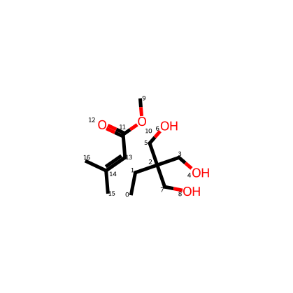 CCC(CO)(CO)CO.COC(=O)C=C(C)C